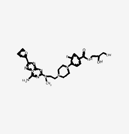 CN(CCN1CCN(c2ccc(C(=O)NCC(O)CO)cc2F)CC1)c1nc(N)n2nc(-c3ccco3)nc2n1